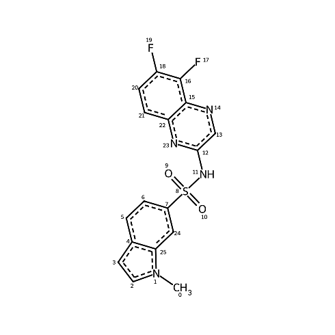 Cn1ccc2ccc(S(=O)(=O)Nc3cnc4c(F)c(F)ccc4n3)cc21